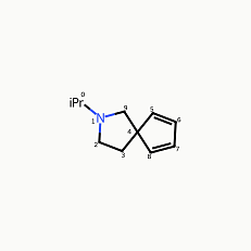 CC(C)N1CCC2(C=CC=C2)C1